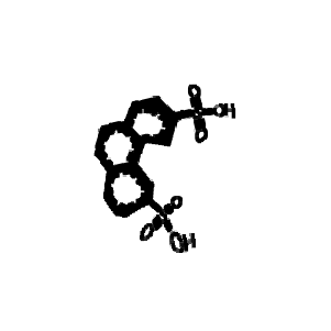 O=S(=O)(O)c1ccc2ccc3ccc(S(=O)(=O)O)cc3c2c1